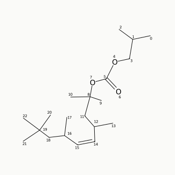 CC(C)COC(=O)OC(C)(C)CC(C)/C=C\C(C)CC(C)(C)C